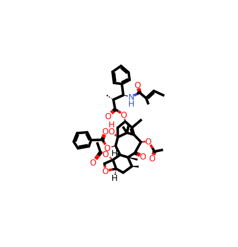 C/C=C(\C)C(=O)N[C@@H](c1ccccc1)[C@@H](C)C(=O)O[C@H]1C[C@@]2(O)[C@@H](OC(=O)c3ccccc3)[C@@H]3[C@]4(OC(C)=O)CO[C@@H]4C[C@H](C)[C@@]3(C)C(=O)[C@H](OC(C)=O)C(=C1C)C2(C)C